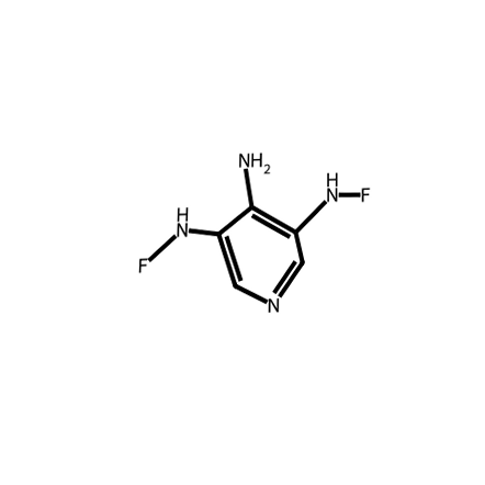 Nc1c(NF)cncc1NF